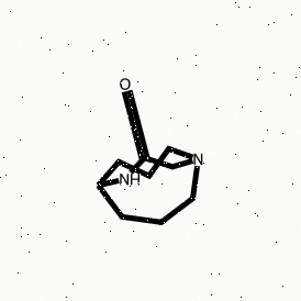 O=C1CN2CCCC(CCC2)N1